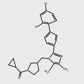 Cc1nc(-c2ccc(-c3ccc(Cl)cc3Cl)cc2)n(CC2CCN(C(=O)C3CC3)C2)c1C